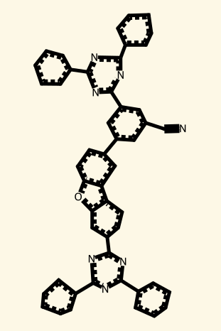 N#Cc1cc(-c2ccc3oc4cc(-c5nc(-c6ccccc6)nc(-c6ccccc6)n5)ccc4c3c2)cc(-c2nc(-c3ccccc3)nc(-c3ccccc3)n2)c1